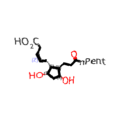 CCCCCC(=O)CC[C@@H]1[C@@H](C/C=C\CC(=O)O)[C@@H](O)C[C@H]1O